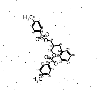 Cc1ccc(S(=O)(=O)OCC(COS(=O)(=O)c2ccc(C)cc2)Cc2ccccc2)cc1